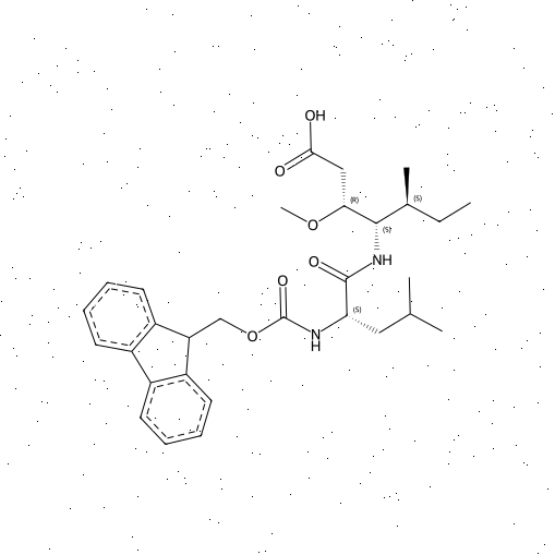 CC[C@H](C)[C@H](NC(=O)[C@H](CC(C)C)NC(=O)OCC1c2ccccc2-c2ccccc21)[C@@H](CC(=O)O)OC